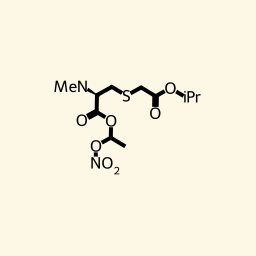 CN[C@@H](CSCC(=O)OC(C)C)C(=O)OC(C)O[N+](=O)[O-]